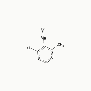 Cc1cccc(Cl)[c]1[Mg][Br]